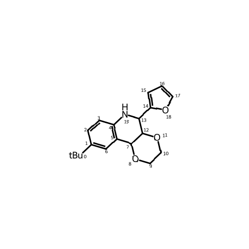 CC(C)(C)c1ccc2c(c1)C1OCCOC1C(c1ccco1)N2